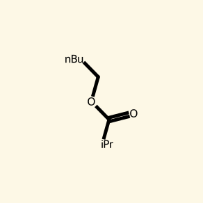 [CH2]CCCCOC(=O)C(C)C